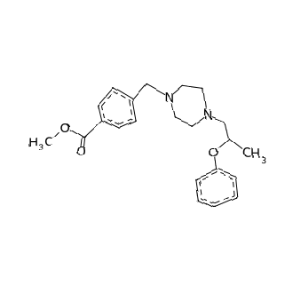 COC(=O)c1ccc(CN2CCN(CC(C)Oc3ccccc3)CC2)cc1